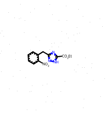 CCOC(=O)c1nc(Cc2ccccc2[N+](=O)[O-])n[nH]1